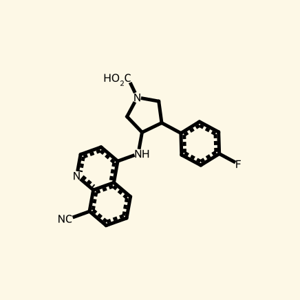 N#Cc1cccc2c(NC3CN(C(=O)O)CC3c3ccc(F)cc3)ccnc12